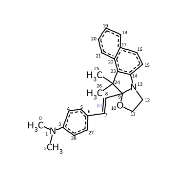 CN(C)c1ccc(/C=C/C23OCCN2c2ccc4ccccc4c2C3(C)C)cc1